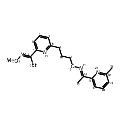 CC/C(=N\OC)c1cccc(CCCO/N=C(\C)c2cccc(C)n2)n1